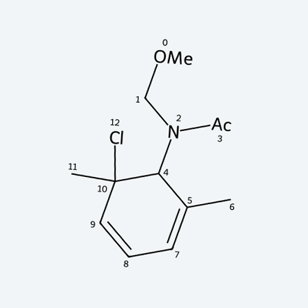 COCN(C(C)=O)C1C(C)=CC=CC1(C)Cl